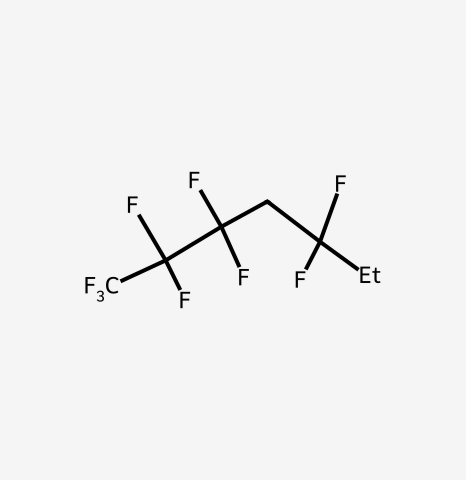 [CH2]CC(F)(F)CC(F)(F)C(F)(F)C(F)(F)F